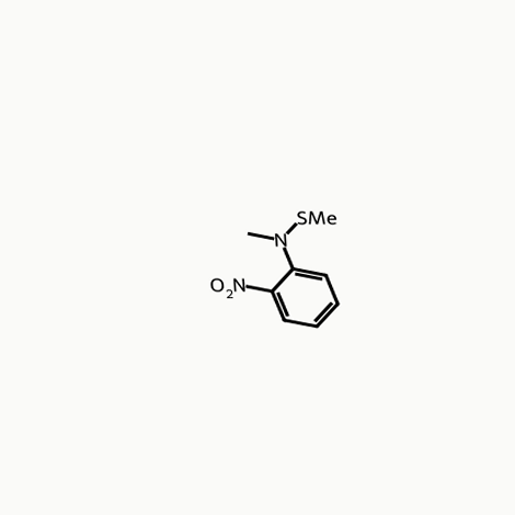 CSN(C)c1ccccc1[N+](=O)[O-]